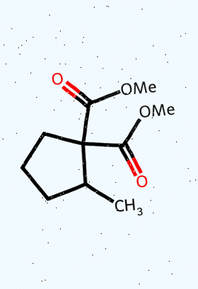 COC(=O)C1(C(=O)OC)CCCC1C